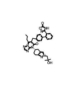 CCCc1c(Cc2ccc(-c3ccccc3-c3noc(=O)[nH]3)cc2)c(=O)n([C@H]2CCc3nn(CC(C)(C)O)cc3C2)c2ncnn12